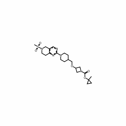 CC1(OC(=O)N2CC(OCC3CCN(c4ncc5c(n4)CCN(S(C)(=O)=O)C5)CC3)C2)CC1